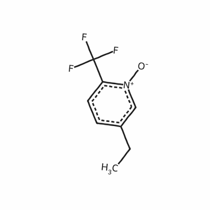 CCc1ccc(C(F)(F)F)[n+]([O-])c1